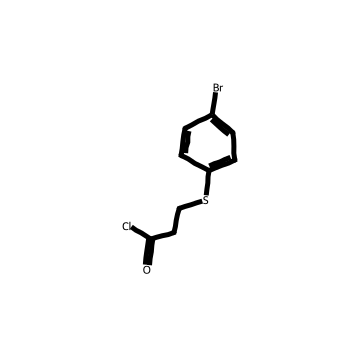 O=C(Cl)CCSc1ccc(Br)cc1